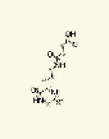 O=C(O)C=CC(=O)NCCCC1NC(=O)CNC1=O